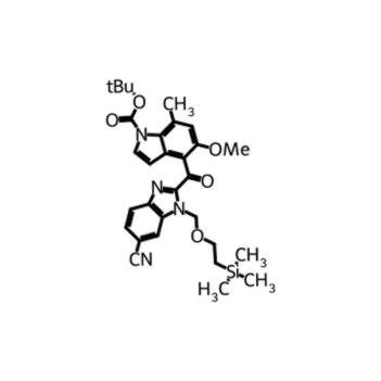 COc1cc(C)c2c(ccn2C(=O)OC(C)(C)C)c1C(=O)c1nc2ccc(C#N)cc2n1COCC[Si](C)(C)C